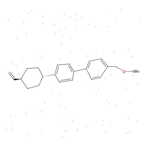 C=C[C@H]1CC[C@H](c2ccc(-c3ccc(COCCCC)cc3)cc2)CC1